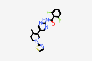 CC1=C(c2cnc(NC(=O)c3c(F)cccc3F)nc2)CN(c2nccs2)CC1